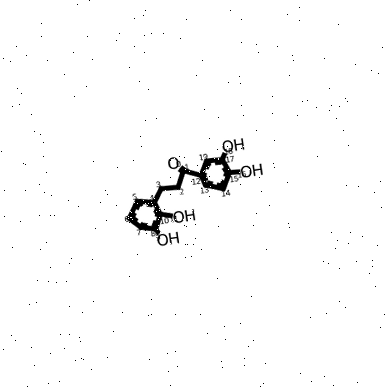 O=C(CCc1cccc(O)c1O)c1ccc(O)c(O)c1